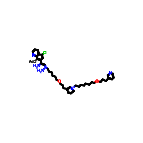 CC(=O)Oc1c(/C(N)=C/N(N)CCCCCCOCCCc2ccc[n+](CCCCCCCCOCCCc3cccnc3)c2)cc(Cl)c2cccnc12